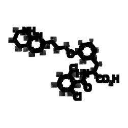 O=C(NC(Cc1cccc(OCCCc2ccc3c(n2)NCCC3)c1)C(=O)O)c1c(Cl)cccc1Cl